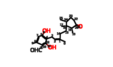 CC(=CCc1c(O)cc(C)c(C=O)c1O)CC[C@@]1(C)[C@H](C)C(=O)CC[C@@H]1C